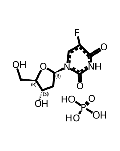 O=P(O)(O)O.O=c1[nH]c(=O)n([C@H]2C[C@H](O)[C@@H](CO)O2)cc1F